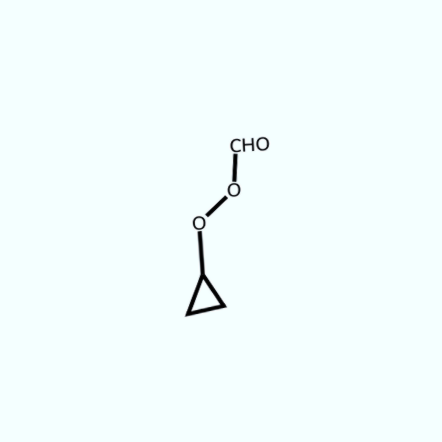 O=COOC1CC1